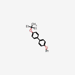 CCC(C)(CC)Oc1ccc(-c2ccc(OC(C)C)cc2)cc1